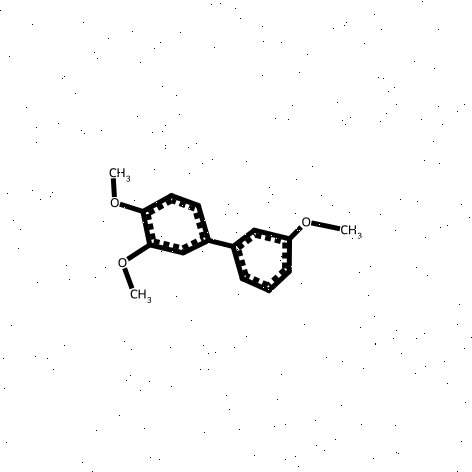 COc1cccc(-c2ccc(OC)c(OC)c2)c1